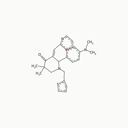 CN(C)c1ccc(C2/C(=C\c3ccccn3)C(=O)C(C)(C)CN2Cc2cccs2)cc1